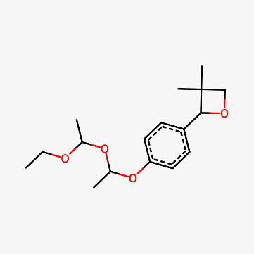 CCOC(C)OC(C)Oc1ccc(C2OCC2(C)C)cc1